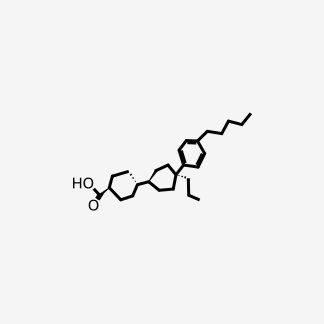 CCCCCc1ccc([C@]2(CCC)CC[C@H]([C@H]3CC[C@H](C(=O)O)CC3)CC2)cc1